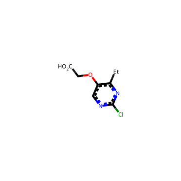 CCc1nc(Cl)ncc1OCC(=O)O